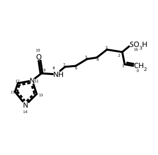 C=CC(CCCCCNC(=O)n1ccnc1)S(=O)(=O)O